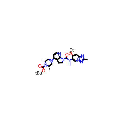 CCOc1cc2nc(C)nn2cc1NC(=O)N1CCc2c(N3C[C@@H](C)N(C(=O)OC(C)(C)C)[C@@H](C)C3)ccnc21